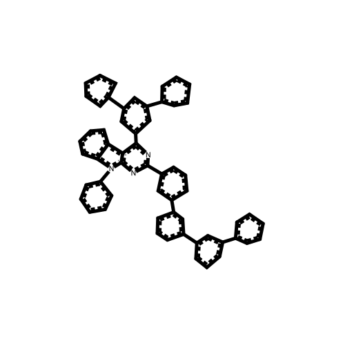 c1ccc(-c2cccc(-c3cccc(-c4cccc(-c5nc(-c6cc(-c7ccccc7)cc(-c7ccccc7)c6)c6c7ccccc7n(-c7ccccc7)c6n5)c4)c3)c2)cc1